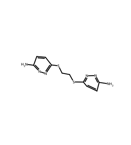 Nc1ccc(SCCSc2ccc(N)nn2)nn1